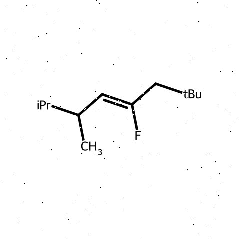 CC(C)C(C)C=C(F)CC(C)(C)C